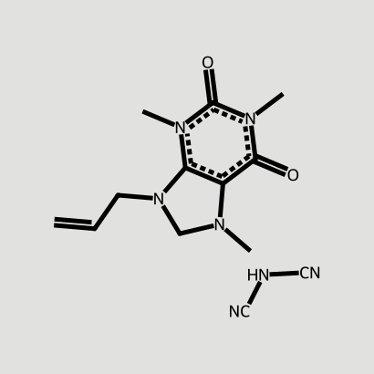 C=CCN1CN(C)c2c1n(C)c(=O)n(C)c2=O.N#CNC#N